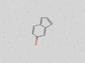 O=C1C=CC2=CC=CC2=C1